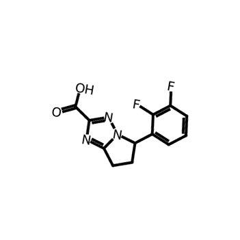 O=C(O)c1nc2n(n1)C(c1cccc(F)c1F)CC2